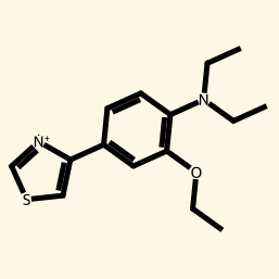 CCOc1cc(C2=CSC=[N+]2)ccc1N(CC)CC